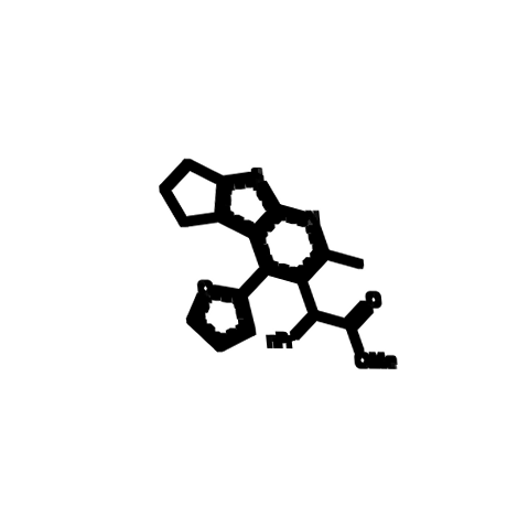 CCCC(C(=O)OC)c1c(C)nc2sc3c(c2c1-c1ccco1)CCC3